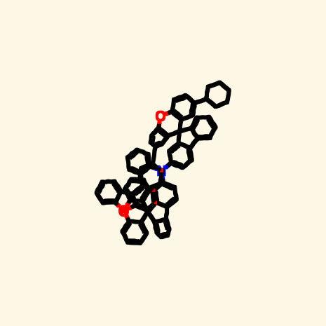 c1ccc2c(c1)Oc1ccccc1C21c2ccccc2-c2ccc(N(c3ccc4c(c3)C3(c5cc(C6CCCCC6)ccc5Oc5ccc(C6CCCCC6)cc53)c3ccccc3-4)c3ccccc3-c3cccc4oc5ccccc5c34)cc21